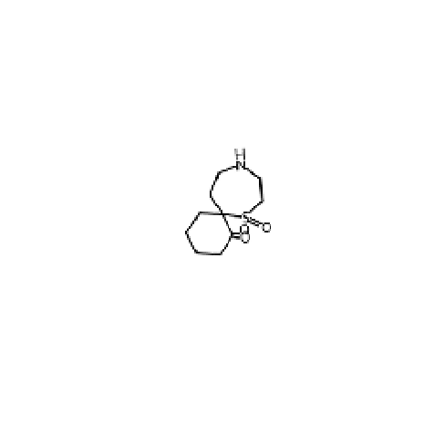 O=C1CCCCC12CCNCCS2(=O)=O